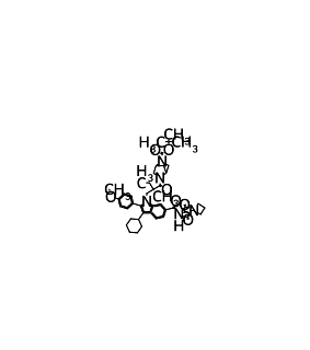 CCC(C)(Cn1c(-c2ccc(OC)cc2)c(C2CCCCC2)c2ccc(C(=O)NS(=O)(=O)N3CCC3)cc21)C(=O)N1CC2CC1CN2C(=O)OC(C)(C)C